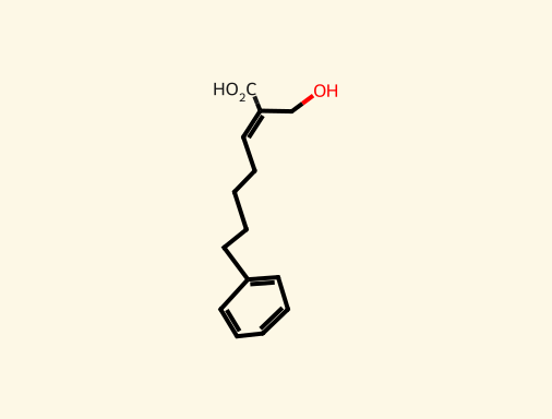 O=C(O)/C(=C/CCCCc1ccccc1)CO